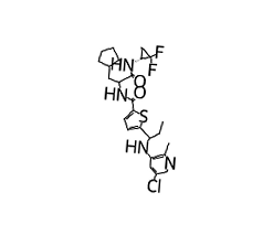 CCC(Nc1cc(Cl)cnc1C)c1ccc(C(=O)NC(CC2CCCC2)C(=O)N[C@@H]2CC2(F)F)s1